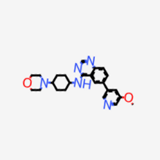 COc1cncc(-c2ccc3ncnc(NC4CCC(N5CCOCC5)CC4)c3c2)c1